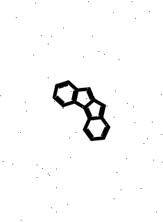 [c]1cccc2c1C1=c3ccccc3=CC1=C2